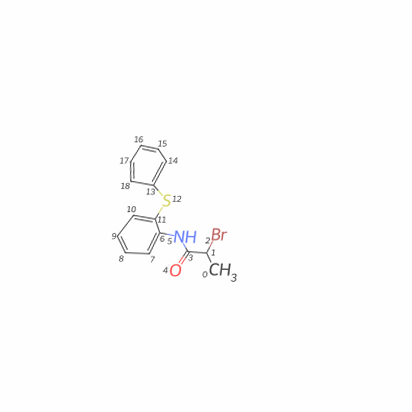 CC(Br)C(=O)Nc1ccccc1Sc1ccccc1